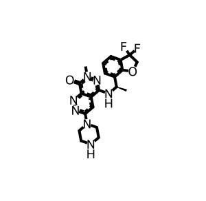 C[C@@H](Nc1nn(C)c(=O)c2nnc(N3CCNCC3)cc12)c1cccc2c1OCC2(F)F